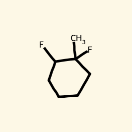 CC1(F)CCCC[C]1F